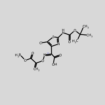 BOC(=O)C(=C)O/N=C(\C(=O)O)c1nc(NC(=O)OC(C)(C)C)sc1Cl